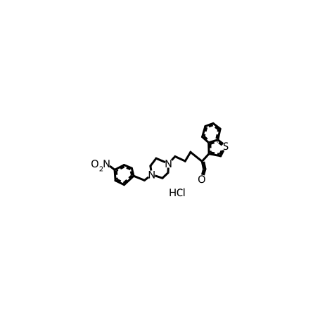 Cl.O=C=C(CCCN1CCN(Cc2ccc([N+](=O)[O-])cc2)CC1)c1csc2ccccc12